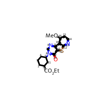 CCOC(=O)C1CCCC(n2cnc3c(sc4nccc(OC)c43)c2=O)C1